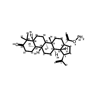 C=C(C)[C@@H]1CC[C@]2(C(=C)OP)CC[C@]3(C)[C@H](CC[C@@H]4[C@@]5(C)CCC(=O)C(C)(C)[C@@H]5CC[C@]43C)[C@@H]12